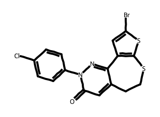 O=c1cc2c(nn1-c1ccc(Cl)cc1)-c1cc(Br)sc1SCC2